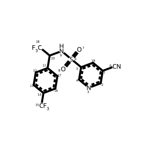 N#Cc1cncc(S(=O)(=O)NC(c2ccc(C(F)(F)F)cc2)C(F)(F)F)c1